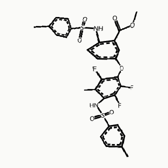 COC(=O)c1cc(Oc2c(F)c(C)c(NS(=O)(=O)c3ccc(C)cc3)c(F)c2F)ccc1NS(=O)(=O)c1ccc(C)cc1